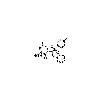 C=C(F)C[C@@H](C(=O)NO)N(Cc1cccnc1)S(=O)(=O)c1ccc(C)cc1